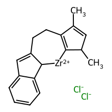 CC1=CC(C)[C]2=C1CCC1=Cc3ccccc3[CH]1[Zr+2]2.[Cl-].[Cl-]